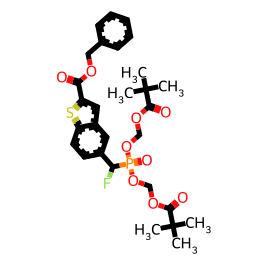 CC(C)(C)C(=O)OCOP(=O)(OCOC(=O)C(C)(C)C)C(F)c1ccc2sc(C(=O)OCc3ccccc3)cc2c1